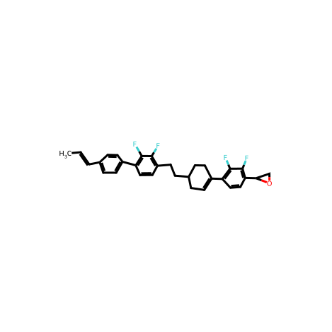 C/C=C/c1ccc(-c2ccc(CCC3CC=C(c4ccc(C5CO5)c(F)c4F)CC3)c(F)c2F)cc1